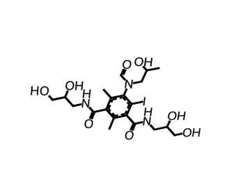 Cc1c(C(=O)NCC(O)CO)c(C)c(N(C=O)CC(C)O)c(I)c1C(=O)NCC(O)CO